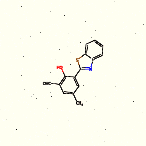 Cc1cc(C=O)c(O)c(-c2nc3ccccc3s2)c1